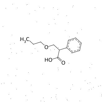 CCCOCC(C(=O)O)c1ccccc1